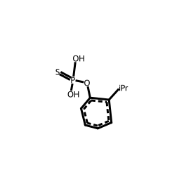 CC(C)c1ccccc1OP(O)(O)=S